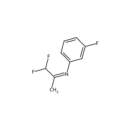 CC(=Nc1cccc(F)c1)C(F)F